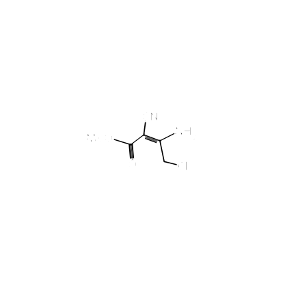 COC(=O)/C(C#N)=C(/N)CCl